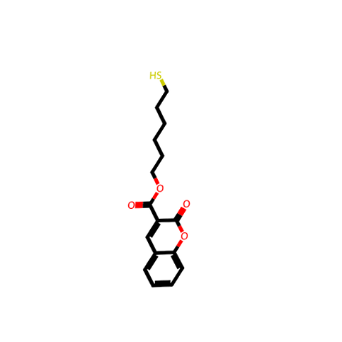 O=C(OCCCCCCS)c1cc2ccccc2oc1=O